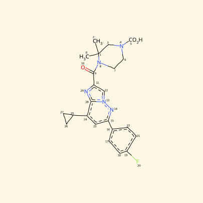 CC1(C)CN(C(=O)O)CCN1C(=O)c1cn2nc(-c3ccc(F)cc3)cc(C3CC3)c2n1